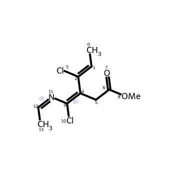 CC=C(Cl)/C(CC(=O)OC)=C(Cl)\N=C/C